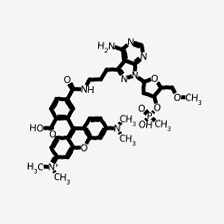 COCC1OC(n2nc(CCCNC(=O)c3ccc(C(=O)O)c(-c4c5ccc(=[N+](C)C)cc-5oc5cc(N(C)C)ccc45)c3)c3c(N)ncnc32)CC1OP(C)(=O)O